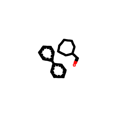 O=CC1CCCCCC1.c1ccc(-c2ccccc2)cc1